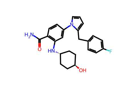 NC(=O)c1ccc(-n2cccc2Cc2ccc(F)cc2)cc1N[C@H]1CC[C@H](O)CC1